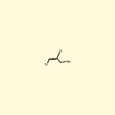 CC/[C]=C(/CC)CCCCC